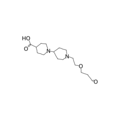 O=CCCOCCN1CCC(N2CCC(C(=O)O)CC2)CC1